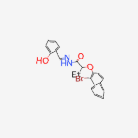 CCC(Oc1ccc2ccccc2c1Br)C(=O)NN=Cc1ccccc1O